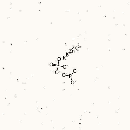 O=P([O-])([O-])[O-].[K+].[K+].[O-]P([O-])[O-].[Zn+2].[Zn+2]